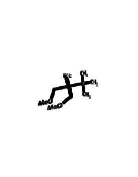 CCC(COC)(COC)[Si](C)(C)C